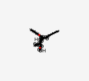 CCCCCCCCCCCCCC(=O)OC[C@H](COP(=O)(O)OCC(COC(=O)CCC(=O)O)OC(=O)CCC(C)=O)OC(=O)CCCCCCCCCCCCC